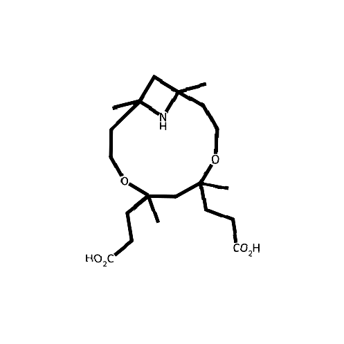 CC12CCOC(C)(CCC(=O)O)CC(C)(CCC(=O)O)OCCC(C)(C1)N2